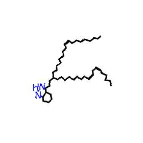 CCCCC/C=C\C/C=C\CCCCCCCCC(CCCCCCCC/C=C\CCCCCCCC)CCC(=N)C1CCCCC1N(C)C